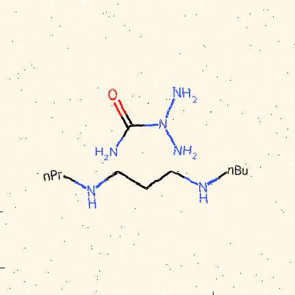 CCCCNCCCNCCC.NC(=O)N(N)N